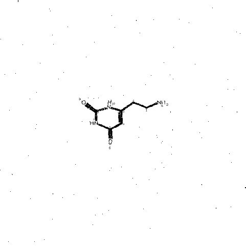 NCCc1cc(=O)[nH]c(=O)[nH]1